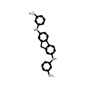 Cc1cccc(Nc2ccc3c(c2)Cc2cc(Nc4cccc(C)c4)ccc2-3)c1